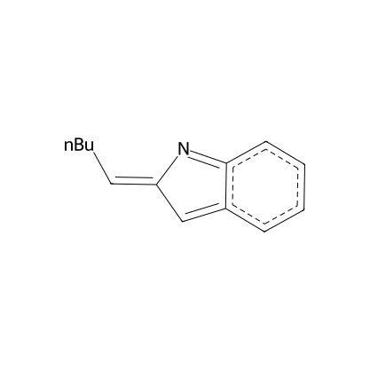 CCCCC=C1C=c2ccccc2=N1